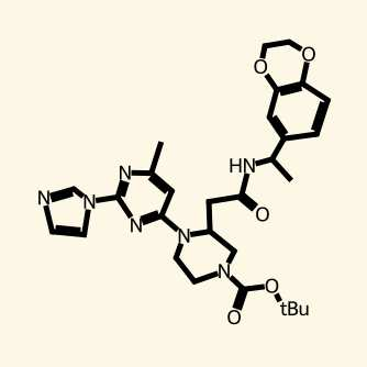 Cc1cc(N2CCN(C(=O)OC(C)(C)C)CC2CC(=O)NC(C)c2ccc3c(c2)OCCO3)nc(-n2ccnc2)n1